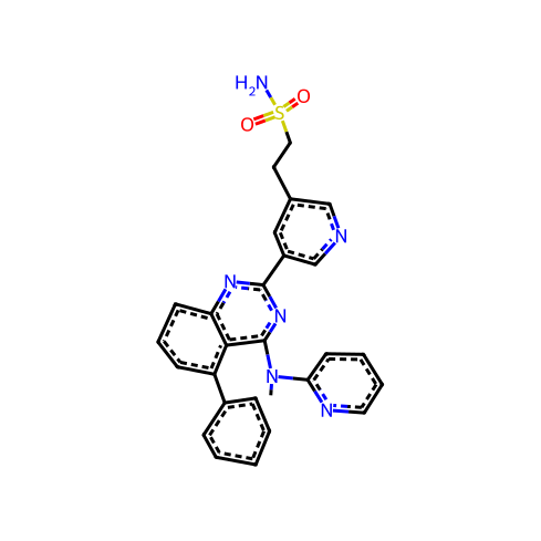 CN(c1ccccn1)c1nc(-c2cncc(CCS(N)(=O)=O)c2)nc2cccc(-c3ccccc3)c12